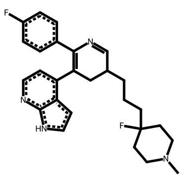 CN1CCC(F)(CCCC2C=NC(c3ccc(F)cc3)=C(c3ccnc4[nH]ccc34)C2)CC1